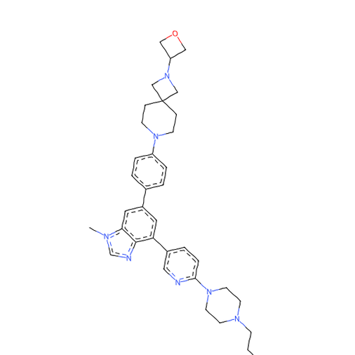 COCCN1CCN(c2ccc(-c3cc(-c4ccc(N5CCC6(CC5)CN(C5COC5)C6)cc4)cc4c3ncn4C)cn2)CC1